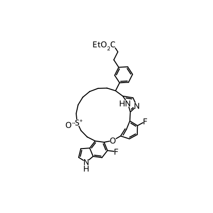 CCOC(=O)CCc1cccc(C2CCCCCC[S+]([O-])CCc3c(c(F)cc4[nH]ccc34)Oc3ccc(F)c(c3)-c3ncc2[nH]3)c1